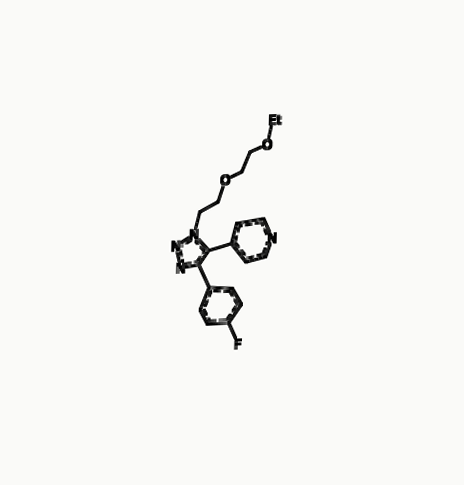 CCOCCOCCn1nnc(-c2ccc(F)cc2)c1-c1ccncc1